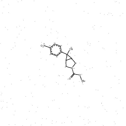 CC(C)(C)OC(=O)N1CC2C(C1)C2(C#N)c1ccc([N+](=O)[O-])cc1